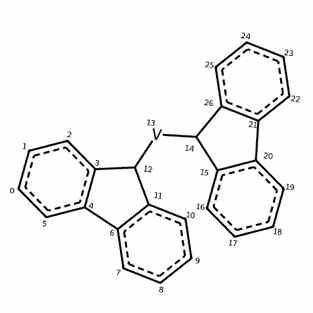 c1ccc2c(c1)-c1ccccc1[CH]2[V][CH]1c2ccccc2-c2ccccc21